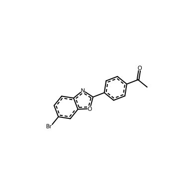 CC(=O)c1ccc(-c2nc3ccc(Br)cc3o2)cc1